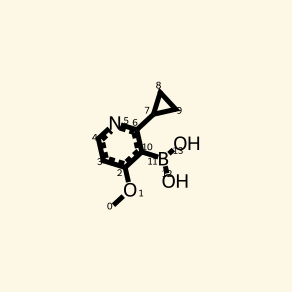 COc1ccnc(C2CC2)c1B(O)O